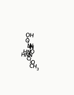 CCC(=O)c1ccc2[nH]c(NC(=O)c3cn(CCOCCO)nn3)nc2c1